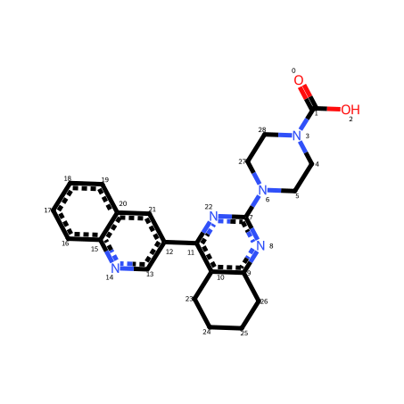 O=C(O)N1CCN(c2nc3c(c(-c4cnc5ccccc5c4)n2)CCCC3)CC1